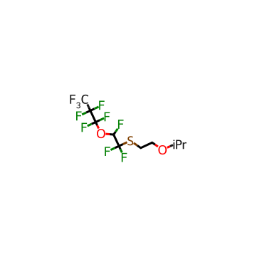 CC(C)OCCSC(F)(F)C(F)OC(F)(F)C(F)(F)C(F)(F)F